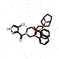 Cc1nc2ccccc2n1C1CC2CCC(C1)N2CCC1(c2ccccc2)CCN(C(=O)c2n[nH]cc2C(F)(F)F)CC1